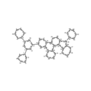 c1ccc(-c2cc(-c3ccccc3)nc(-c3ccc4c(c3)c3ccccc3c3c4ccc4c3c3ccccc3n4-c3ccccc3)n2)cc1